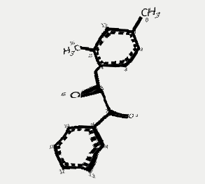 Cc1ccc(C(=O)C(=O)c2ccccc2)c(C)c1